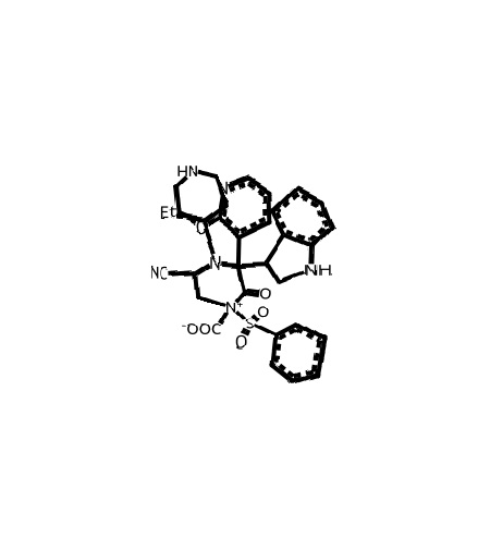 CCOc1ncccc1C1(C2CNc3ccccc32)C(=O)[N+](C(=O)[O-])(S(=O)(=O)c2ccccc2)CC(C#N)N1C1CCNCC1